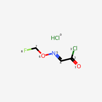 Cl.O=C(Cl)C=NOCF